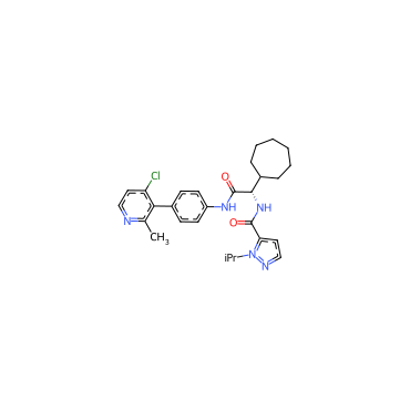 Cc1nccc(Cl)c1-c1ccc(NC(=O)[C@@H](NC(=O)c2ccnn2C(C)C)C2CCCCCC2)cc1